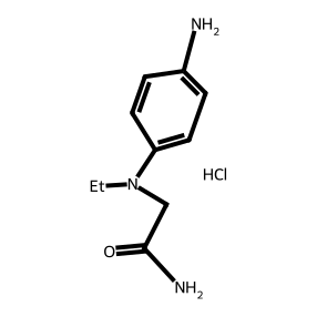 CCN(CC(N)=O)c1ccc(N)cc1.Cl